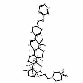 C[C@@H]1CC[C@]2(NCCN3CCS(=O)(=O)CC3)CC[C@]3(C)[C@H](CCC4[C@@]5(C)CC=C(C6=CC[C@H](COc7cnccn7)CC6)C(C)(C)C5CC[C@]43C)[C@@H]12